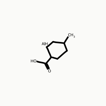 CC1CCC(C(=O)O)CC1.[AlH3]